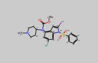 CN1CCC(N(C(=O)OC(C)(C)C)c2cc(F)cc3c2cc(I)n3S(=O)(=O)c2ccccc2)CC1